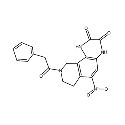 O=C(Cc1ccccc1)N1CCc2c([N+](=O)[O-])cc3[nH]c(=O)c(=O)[nH]c3c2C1